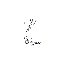 CC/C=C(/C=C\NC)c1cccc(OCCCCN2CCN(c3cccc(C)c3C)CC2)n1